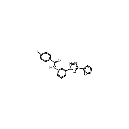 O=C(Nc1cccc(-c2nnc(-c3ccco3)o2)c1)c1ccc(I)cc1